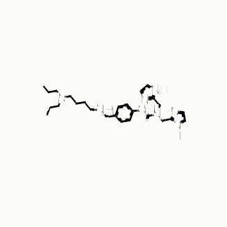 CCCN(CCC)CCCCNCc1ccc(NC(=O)N(Cc2ncc[nH]2)Cc2ncc[nH]2)cc1